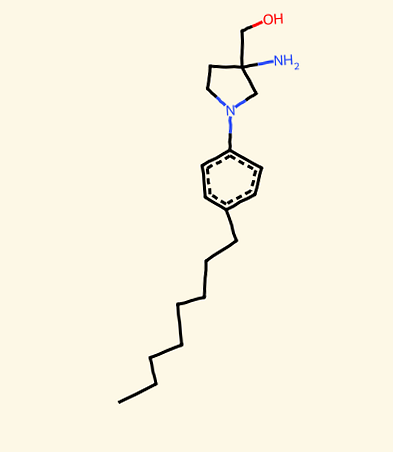 CCCCCCCCc1ccc(N2CCC(N)(CO)C2)cc1